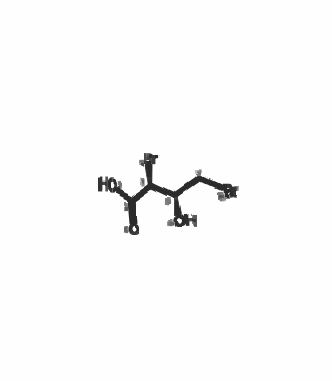 O=C(O)[C@@H](Br)[C@H](O)CBr